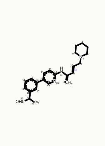 C=C(/C=C/CN1CCCCC1)Nc1ccc(-c2cccc(C(C=O)C(C)C)c2)cn1